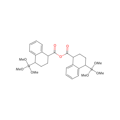 CO[Si](OC)(OC)C1CCC(C(=O)OC(=O)C2CCC([Si](OC)(OC)OC)c3ccccc32)c2ccccc21